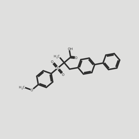 COc1ccc(S(=O)(=O)C(C)(Cc2ccc(-c3ccccc3)cc2)C(=O)O)cc1